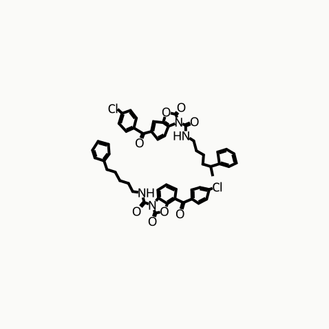 CC(CCCCNC(=O)n1c(=O)oc2cc(C(=O)c3ccc(Cl)cc3)ccc21)c1ccccc1.O=C(c1ccc(Cl)cc1)c1cccc2c1oc(=O)n2C(=O)NCCCCCc1ccccc1